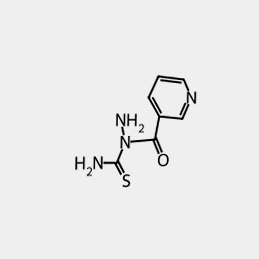 NC(=S)N(N)C(=O)c1cccnc1